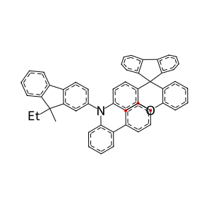 CCC1(C)c2ccccc2-c2ccc(N(c3ccc4c(c3)Oc3ccccc3C43c4ccccc4-c4ccccc43)c3ccccc3-c3ccccc3)cc21